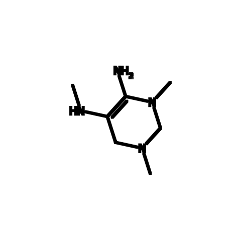 CNC1=C(N)N(C)CN(C)C1